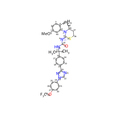 COc1ccc(C(C)C)c(N2/C(=N/C(=O)NC(C)(C)c3ccc(-c4ncn(-c5ccc(OC(F)(F)F)cc5)n4)cc3)SCCC2C)c1